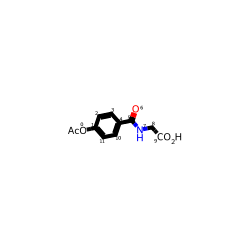 CC(=O)Oc1ccc(C(=O)NCC(=O)O)cc1